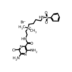 C[N+](C)(CCCCNS(=O)(=O)c1ccccc1)CCNC(=O)c1nc(Cl)c(N)nc1N.[Br-]